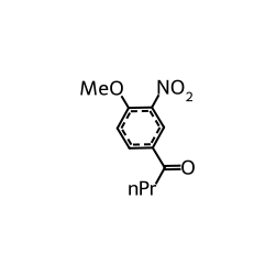 CCCC(=O)c1ccc(OC)c([N+](=O)[O-])c1